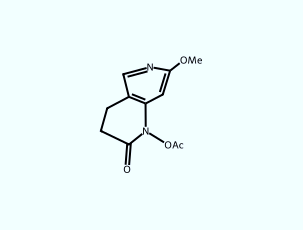 COc1cc2c(cn1)CCC(=O)N2OC(C)=O